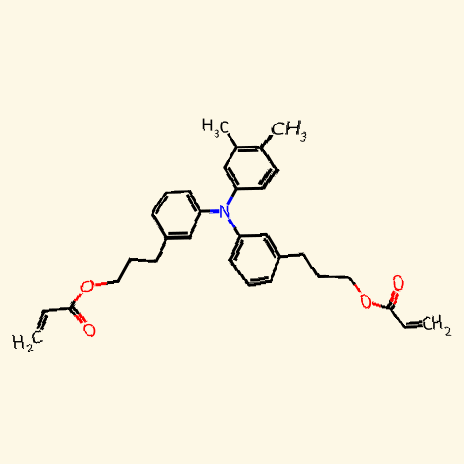 C=CC(=O)OCCCc1cccc(N(c2cccc(CCCOC(=O)C=C)c2)c2ccc(C)c(C)c2)c1